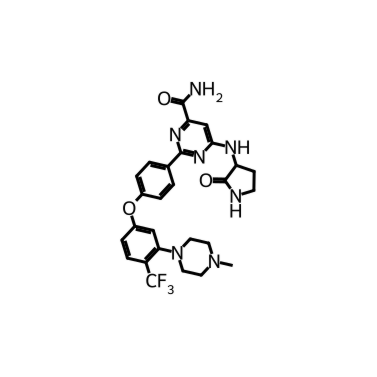 CN1CCN(c2cc(Oc3ccc(-c4nc(NC5CCNC5=O)cc(C(N)=O)n4)cc3)ccc2C(F)(F)F)CC1